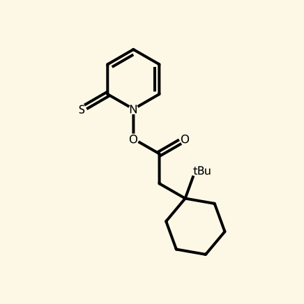 CC(C)(C)C1(CC(=O)On2ccccc2=S)CCCCC1